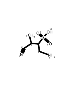 CC(C#N)C(CN)S(=O)(=O)O